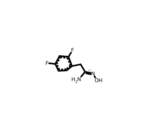 N/C(Cc1ccc(F)cc1F)=N\O